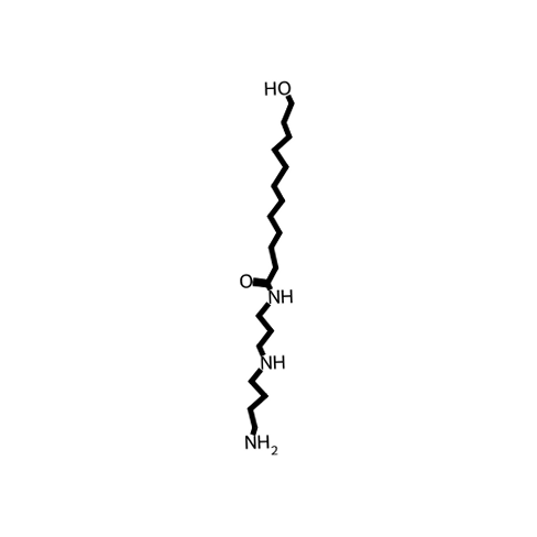 NCCCCNCCCNC(=O)CCCCCCCCCCCO